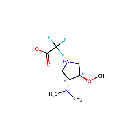 CO[C@@H]1CNC[C@H]1N(C)C.O=C(O)C(F)(F)F